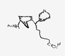 CC(=O)Nc1cccc(C(=CCCCC(=O)O)c2cccnc2)c1